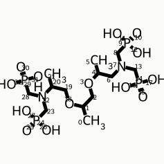 CC(COC(C)CN(CP(=O)(O)O)CP(=O)(O)O)OCC(C)N(CP(=O)(O)O)CP(=O)(O)O